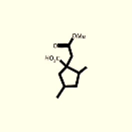 COC(=O)CC1(C(=O)O)CC(C)CC1C